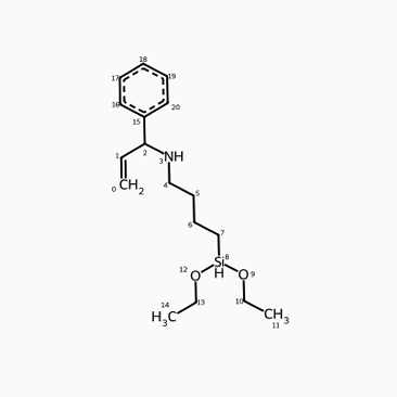 C=CC(NCCCC[SiH](OCC)OCC)c1ccccc1